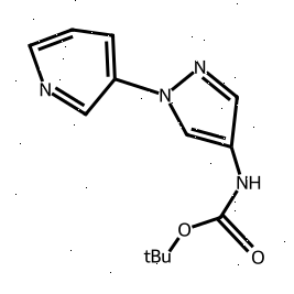 CC(C)(C)OC(=O)Nc1cnn(-c2cccnc2)c1